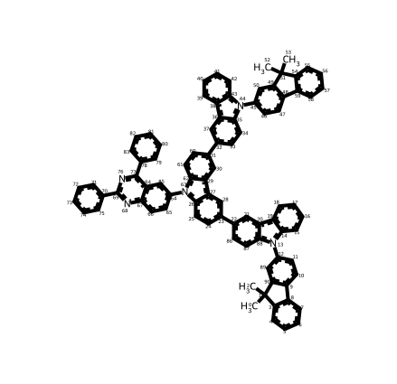 CC1(C)c2ccccc2-c2ccc(-n3c4ccccc4c4cc(-c5ccc6c(c5)c5cc(-c7ccc8c(c7)c7ccccc7n8-c7ccc8c(c7)C(C)(C)c7ccccc7-8)ccc5n6-c5ccc6nc(-c7ccccc7)nc(-c7ccccc7)c6c5)ccc43)cc21